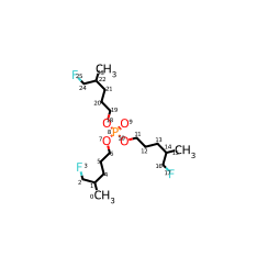 CC(CF)CCCOP(=O)(OCCCC(C)CF)OCCCC(C)CF